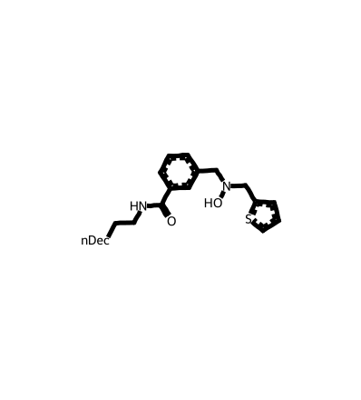 CCCCCCCCCCCCNC(=O)c1cccc(CN(O)Cc2cccs2)c1